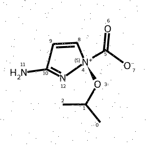 CC(C)O[N@+]1(C(=O)[O-])C=CC(N)=N1